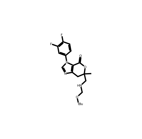 CC(C)(C)OCNCC1(C)Cc2ncn(-c3ccc(F)c(F)c3)c2C(=O)O1